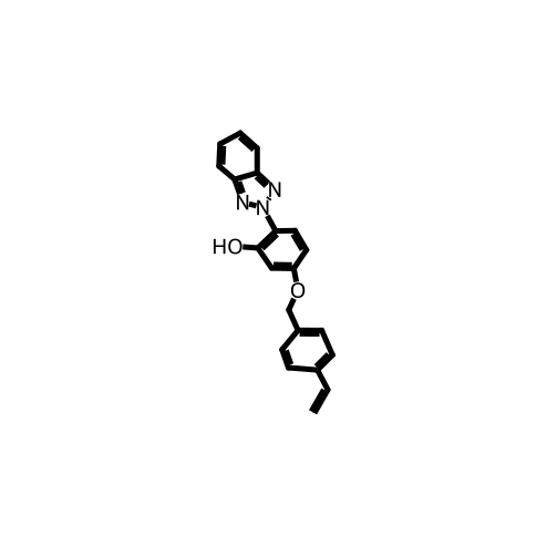 C=Cc1ccc(COc2ccc(-n3nc4ccccc4n3)c(O)c2)cc1